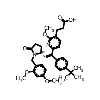 COc1ccc(CN2C(=O)CC[C@@H]2C=C(c2ccc(C(C)(C)C)cc2)c2ccc(CCC(=O)O)c(OC)n2)c(OC)c1